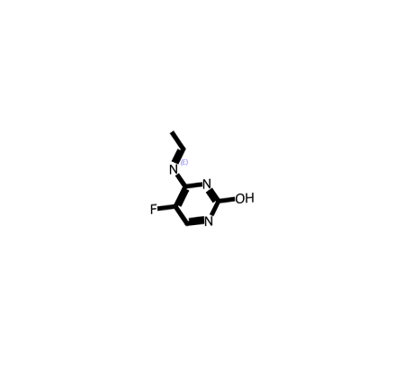 C/C=N/c1nc(O)ncc1F